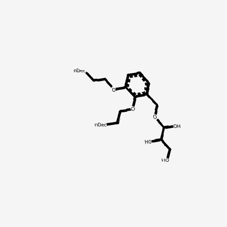 CCCCCCCCCCCCOc1cccc(COC(O)C(O)CO)c1OCCCCCCCCCCCC